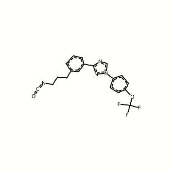 O=C=NCCCc1cccc(-c2ncn(-c3ccc(OC(F)(F)F)cc3)n2)c1